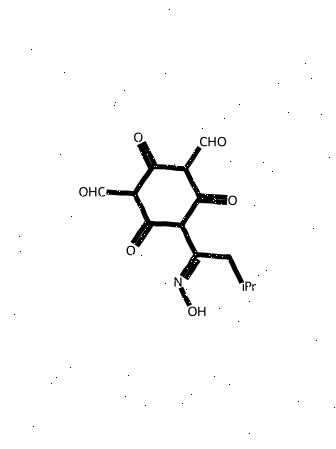 CC(C)C/C(=N\O)C1C(=O)C(C=O)C(=O)C(C=O)C1=O